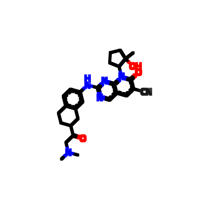 CN(C)CC(=O)C1CCc2ccc(Nc3ncc4cc(C#N)c(=O)n(C5CCCC5(C)O)c4n3)cc2C1